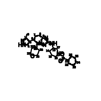 Cc1n[nH]cc1-c1ccc2nc(NC3CCCN(OC(=O)c4ccccc4)C3)nn2c1N1CCOCC1